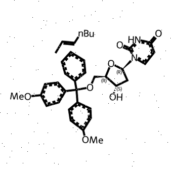 CC=CCCCC.COc1ccc(C(OC[C@H]2O[C@@H](n3ccc(=O)[nH]c3=O)C[C@@H]2O)(c2ccccc2)c2ccc(OC)cc2)cc1